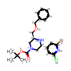 CC(C)(C)OC(=O)N1C[C@@H](COCc2ccccc2)N[C@H](c2cc(Cl)nc(Br)c2)C1